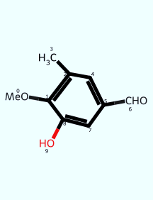 COc1c(C)cc(C=O)cc1O